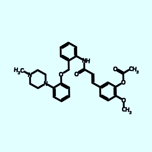 COc1ccc(/C=C/C(=O)Nc2ccccc2COc2ccccc2N2CCN(C)CC2)cc1OC(C)=O